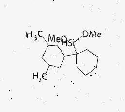 CO[SiH](OC)C1(C2CC(C)CC(C)C2)CCCCC1